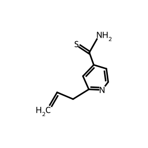 C=CCc1cc(C(N)=S)ccn1